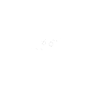 CCCCC(=O)Nc1ccc(OCCN2CCN(CC(=O)O)CC2)c(-c2ccnn2C)c1